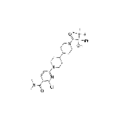 CC(C)C(O)(C(=O)N1CCC(C2CCN(c3ccc(C(=O)N(C)C)c(Cl)n3)CC2)CC1)C(C)(F)F